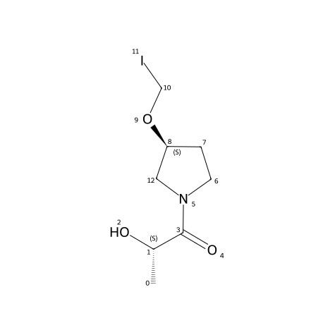 C[C@H](O)C(=O)N1CC[C@H](OCI)C1